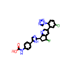 O=C(O)Nc1ccc(-c2cnc(C3CC(F)c4cc(-c5cc(Cl)ccc5-n5cnnn5)cnc43)[nH]2)cc1